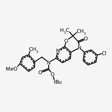 COc1ccc(CN(C(=O)OC(C)(C)C)c2ccc3c(n2)OC(C)(C)C(=O)N3c2cccc(Cl)c2)c(C)c1